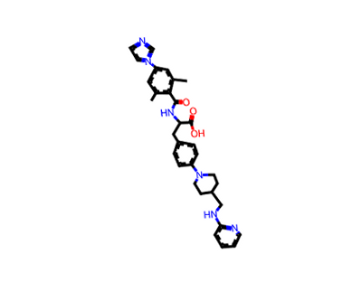 Cc1cc(-n2ccnc2)cc(C)c1C(=O)NC(Cc1ccc(N2CCC(CNc3ccccn3)CC2)cc1)C(=O)O